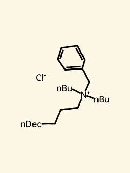 CCCCCCCCCCCCC[N+](CCCC)(CCCC)Cc1ccccc1.[Cl-]